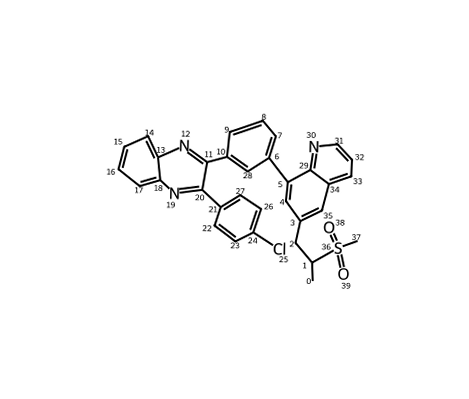 CC(Cc1cc(-c2cccc(-c3nc4ccccc4nc3-c3ccc(Cl)cc3)c2)c2ncccc2c1)S(C)(=O)=O